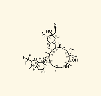 CC[C@H]1OC(=O)[C@H](C)[C@@H](O[C@H]2C[C@@](C)(OC)[C@](O)(CC#N)[C@H](C)O2)[C@H](C)[C@@H](O[C@@H]2O[C@H](C)C[C@H]3[C@H]2OC(C(F)(F)F)N3C)[C@](C)(O)C[C@@H](C)CN[C@H](C)[C@@H](O)[C@]1(C)O